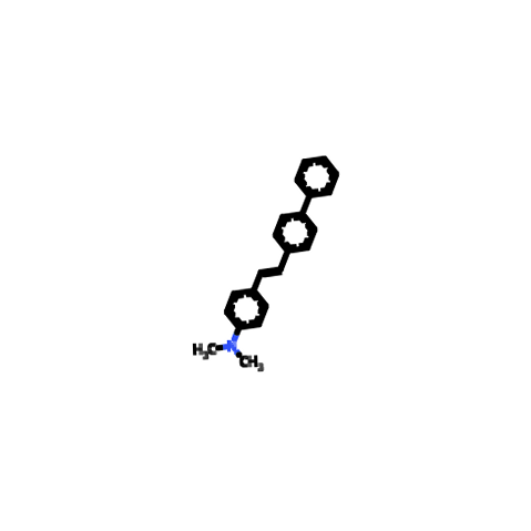 CN(C)c1ccc(/C=C/c2ccc(-c3ccccc3)cc2)cc1